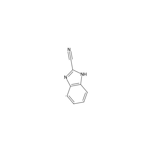 N#Cc1nc2[c]cccc2[nH]1